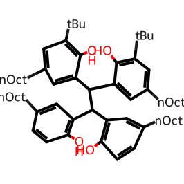 CCCCCCCCc1ccc(O)c(C(c2cc(CCCCCCCC)ccc2O)C(c2cc(CCCCCCCC)cc(C(C)(C)C)c2O)c2cc(CCCCCCCC)cc(C(C)(C)C)c2O)c1